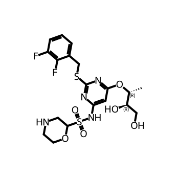 C[C@@H](Oc1cc(NS(=O)(=O)C2CNCCO2)nc(SCc2cccc(F)c2F)n1)[C@H](O)CO